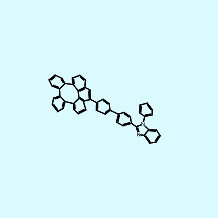 c1ccc(-n2c(-c3ccc(-c4ccc(-c5cc6cccc7c8ccccc8c8ccccc8c8cccc5c8c67)cc4)cc3)nc3ccccc32)cc1